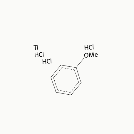 COc1ccccc1.Cl.Cl.Cl.[Ti]